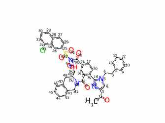 CC(=O)c1cn(CCc2ccccc2)c(-c2ccc(C(=O)NS(=O)(=O)c3ccc4cccc(Cl)c4c3)cc2C(=O)N2Cc3ccccc3C[C@H]2CO)n1